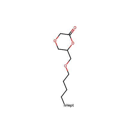 CCCCCCCCCCCOCC1COCC(=O)O1